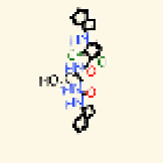 O=C(NCC(NC(=O)c1c(Cl)ccc(NC2CCc3ccccc32)c1Cl)C(=O)O)NC1CCc2ccccc21